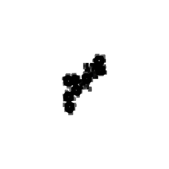 CC1C=CC(c2cccc(C3C=CC=CC3)c2)=CC1c1c(Nc2ccc(/C=N/C3=CC=CCC3(C)C(N)C3=CC=CCC3)cc2)ccc2ccccc12